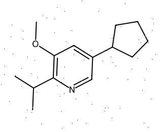 COc1cc(C2CCCC2)cnc1C(C)C